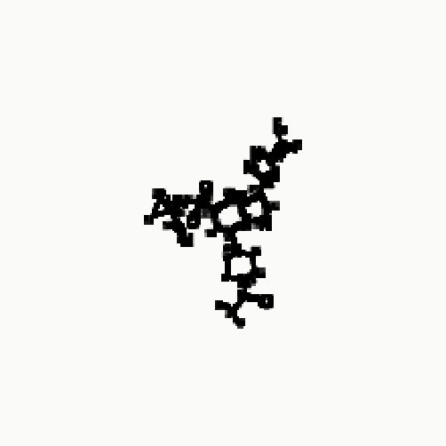 CC(C)C(=O)N1CCN(c2cc(S(=O)(=O)NC3(C#N)CC3)cc3c(-c4nnc(C(F)F)s4)cnn23)CC1